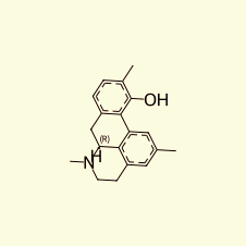 Cc1cc2c3c(c1)-c1c(ccc(C)c1O)C[C@H]3N(C)CC2